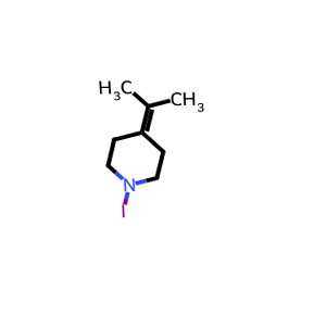 CC(C)=C1CCN(I)CC1